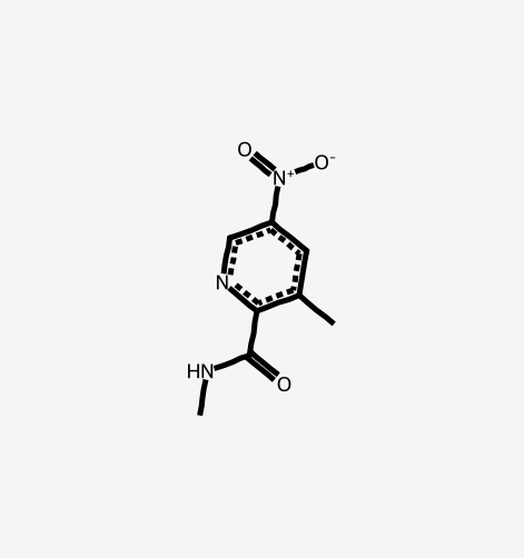 CNC(=O)c1ncc([N+](=O)[O-])cc1C